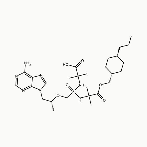 CCC[C@H]1CC[C@H](COC(=O)C(C)(C)NP(=O)(CO[C@H](C)Cn2cnc3c(N)ncnc32)NC(C)(C)C(=O)O)CC1